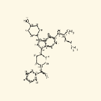 CCC[C@H](C)Nc1ncc2c(C3CCN(C(=O)c4cnccn4)CC3)cn(C3CCC(O)CC3)c2n1